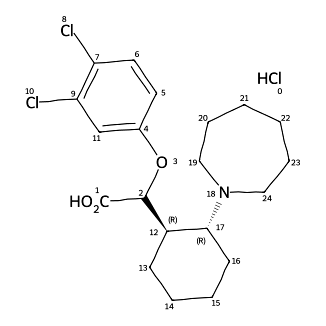 Cl.O=C(O)C(Oc1ccc(Cl)c(Cl)c1)[C@@H]1CCCC[C@H]1N1CCCCCC1